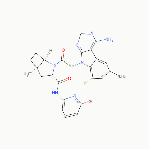 Cc1cc(F)c2c(c1)c1c(N)ncnc1n2CC(=O)N1[C@H](C(=O)Nc2cccc(Br)n2)C[C@@]2(C)CC[C@@H]12